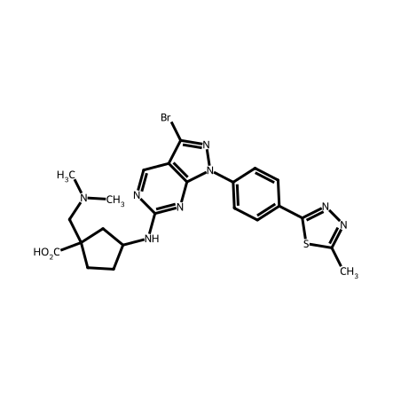 Cc1nnc(-c2ccc(-n3nc(Br)c4cnc(NC5CCC(CN(C)C)(C(=O)O)C5)nc43)cc2)s1